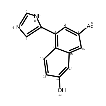 CC(=O)c1cc(-c2cnc[nH]2)c2ccc(O)cc2c1